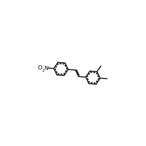 Cc1ccc(/C=C/c2ccc([N+](=O)[O-])cc2)cc1C